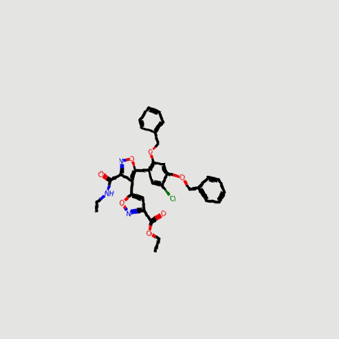 CCNC(=O)c1noc(-c2cc(Cl)c(OCc3ccccc3)cc2OCc2ccccc2)c1-c1cc(C(=O)OCC)no1